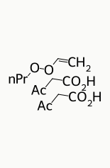 C=COOCCC.CC(=O)CC(=O)O.CC(=O)CC(=O)O